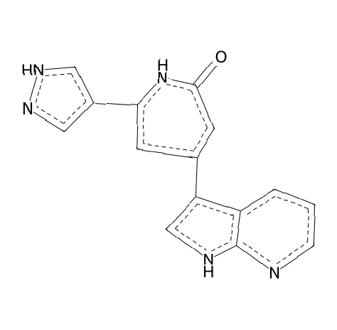 O=c1cc(-c2c[nH]c3ncccc23)cc(-c2cn[nH]c2)[nH]1